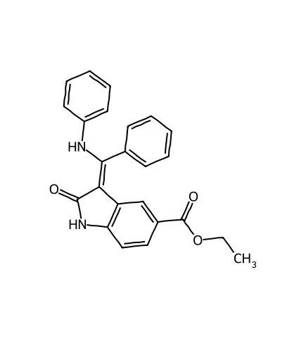 CCOC(=O)c1ccc2c(c1)/C(=C(/Nc1ccccc1)c1ccccc1)C(=O)N2